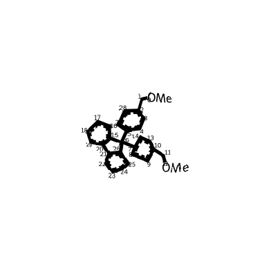 COCc1ccc(C2(c3ccc(COC)cc3)c3ccccc3-c3ccccc32)cc1